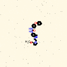 COC[C@@H]1CCCN1CCn1ncc2cc(NC(=O)Nc3ccc(Oc4ccccc4)cc3)ccc21